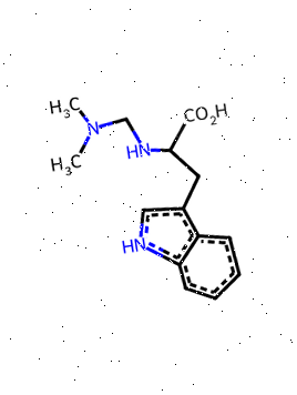 CN(C)CNC(Cc1c[nH]c2ccccc12)C(=O)O